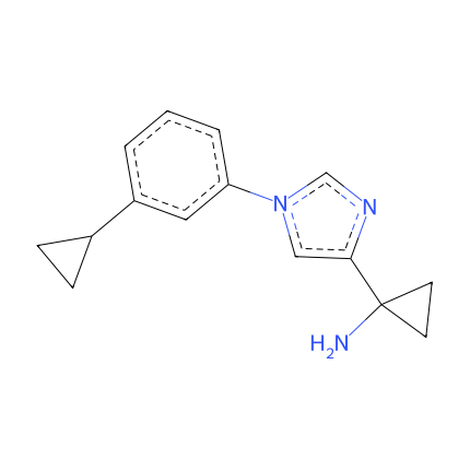 NC1(c2cn(-c3cccc(C4CC4)c3)cn2)CC1